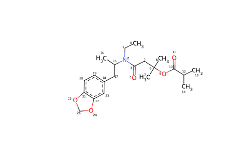 CCN(C(=O)CC(C)(C)OC(=O)C(C)C)C(C)Cc1ccc2c(c1)OCO2